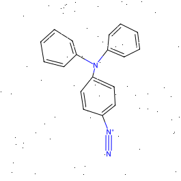 N#[N+]c1ccc(N(c2ccccc2)c2ccccc2)cc1